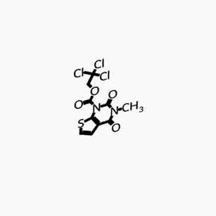 Cn1c(=O)c2ccsc2n(C(=O)OCC(Cl)(Cl)Cl)c1=O